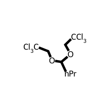 CCCC(OCC(Cl)(Cl)Cl)OCC(Cl)(Cl)Cl